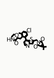 Cc1cc(Cl)cc(-c2ccnc3cc(CN4C(=O)C5C(C4=O)C5(C)C)sc23)c1CC1OCCNC1=O